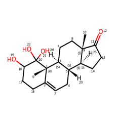 C[C@]12C(=CC[C@@H]3[C@@H]1CC[C@]1(C)C(=O)CC[C@@H]31)CCC(O)C2(O)O